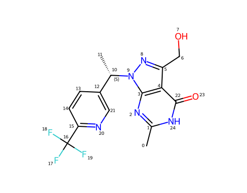 Cc1nc2c(c(CO)nn2[C@@H](C)c2ccc(C(F)(F)F)nc2)c(=O)[nH]1